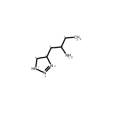 CCC(N)CC1CNN=N1